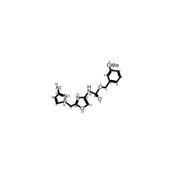 COc1cccc(COC(=O)Nc2coc(Cn3ccc(C(C)=O)n3)n2)c1